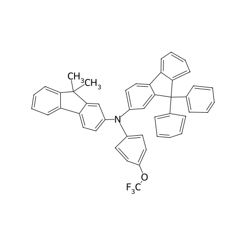 CC1(C)c2ccccc2-c2ccc(N(c3ccc(OC(F)(F)F)cc3)c3ccc4c(c3)C(c3ccccc3)(c3ccccc3)c3ccccc3-4)cc21